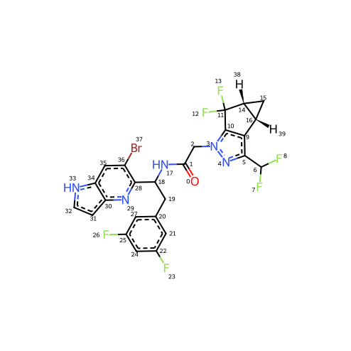 O=C(Cn1nc(C(F)F)c2c1C(F)(F)[C@@H]1C[C@H]21)NC(Cc1cc(F)cc(F)c1)c1nc2cc[nH]c2cc1Br